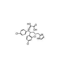 Clc1ccc(SC(CCCc2ncc[nH]2)c2ccc(Cl)cc2Cl)cc1.O=C(O)C(=O)O